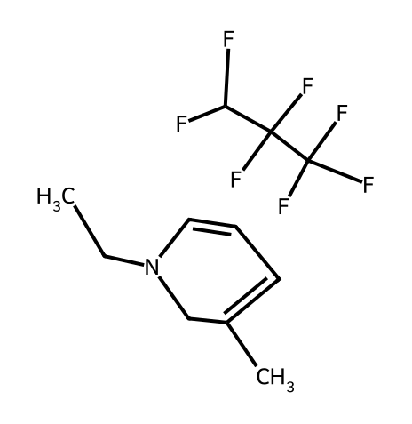 CCN1C=CC=C(C)C1.FC(F)C(F)(F)C(F)(F)F